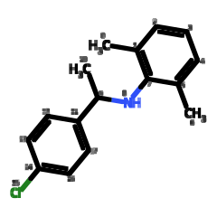 Cc1cccc(C)c1NC(C)c1ccc(Cl)cc1